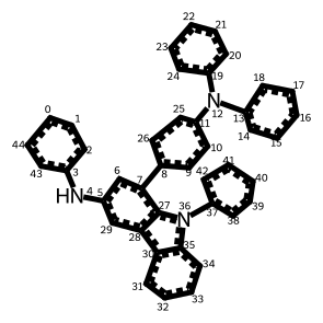 c1ccc(Nc2cc(-c3ccc(N(c4ccccc4)c4ccccc4)cc3)c3c(c2)c2ccccc2n3-c2ccccc2)cc1